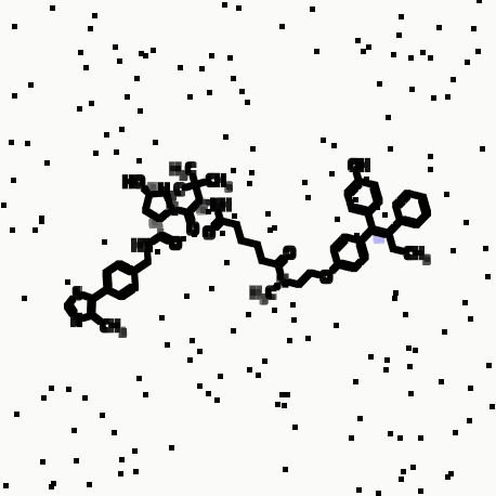 CC/C(=C(/c1ccc(O)cc1)c1ccc(OCCN(C)C(=O)CCCCC(=O)N[C@H](C(=O)N2C[C@H](O)C[C@H]2C(=O)NCc2ccc(-c3scnc3C)cc2)C(C)(C)C)cc1)c1ccccc1